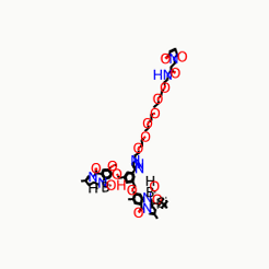 COc1cc2c(cc1OCc1cc(COc3cc4c(cc3C)C(=O)N3C=C(C)C[C@H]3[C@H](O[Si](C)(C)C(C)(C)C)N4BC=O)cc(-c3cn(CCOCCOCCOCCOCCOCCOCCNC(=O)CCN4C(=O)C=CC4=O)nn3)c1)N(B(C)O)[C@@H](C)[C@@H]1CC(C)=CN1C2=O